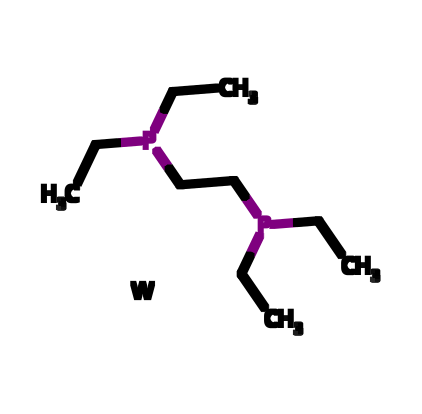 CCP(CC)CCP(CC)CC.[W]